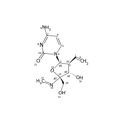 C=C[C@@H]1[C@H](n2ccc(N)nc2=O)O[C@@](CO)(N=C)[C@H]1O